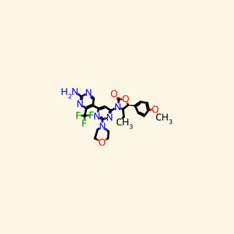 CCC1[C@H](c2ccc(OC)cc2)OC(=O)N1c1cc(-c2cnc(N)nc2C(F)(F)F)nc(N2CCOCC2)n1